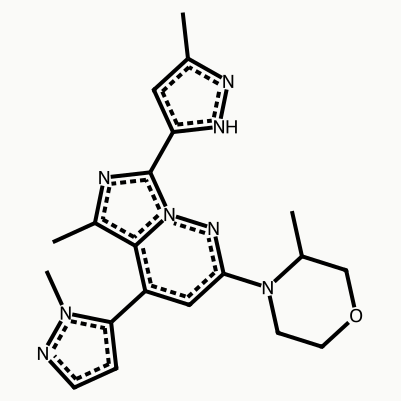 Cc1cc(-c2nc(C)c3c(-c4ccnn4C)cc(N4CCOCC4C)nn23)[nH]n1